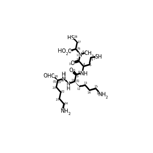 CN(C(=O)C(CCS)NC(=O)[C@H](CCCCN)NN[C@H](C=O)CCCCN)C(CS)C(=O)O